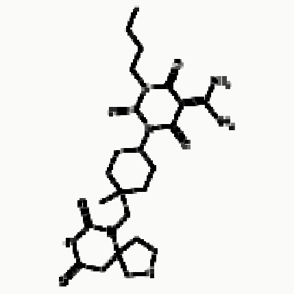 CCCCN1C(=O)C(=C(N)N)C(=O)N(C2CCC(C)(CN3C(=O)NC(=O)CC34CCOC4)CC2)C1=O